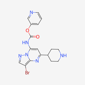 O=C(Nc1cc(C2CCNCC2)nc2c(Br)cnn12)Oc1cccnc1